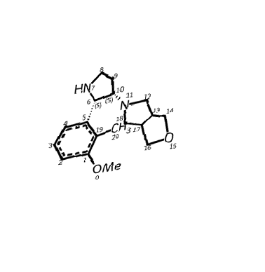 COc1cccc([C@@H]2NCC[C@@H]2N2CC3COCC3C2)c1C